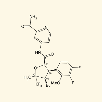 CC[C@@H]1[C@H](c2ccc(F)c(F)c2OC)[C@H](C(=O)Nc2ccnc(C(N)=O)c2)O[C@@]1(C)C(F)(F)F